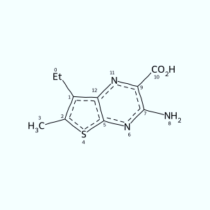 CCc1c(C)sc2nc(N)c(C(=O)O)nc12